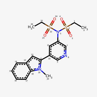 CCS(=O)(=O)N(c1cncc(-c2cc3ccccc3n2C)c1)S(=O)(=O)CC